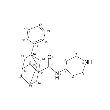 O=C(NC1CCNCC1)C12CC3CC(C1)CC(c1ccccc1)(C3)C2